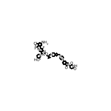 C[C@@]1(O)CCCN(c2nc(OCC3(CN4CCC5(CC4)CC(CN4CCN(c6ccc7c(c6)CN([C@H]6CCC(=O)NC6=O)C7=O)CC4)C5)CC3)nc3c(F)c(-c4cc(N)cc(Cl)c4C(F)(F)F)ncc23)C1